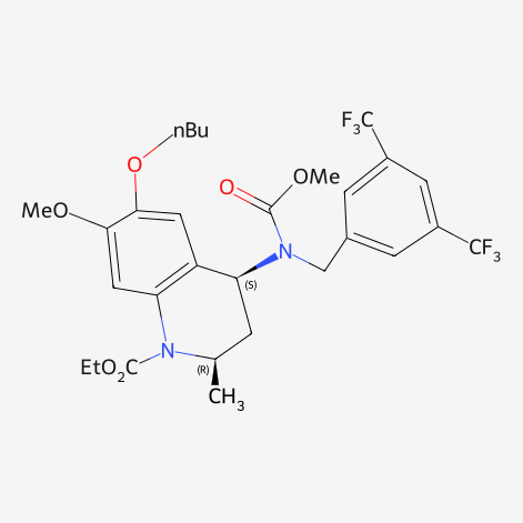 CCCCOc1cc2c(cc1OC)N(C(=O)OCC)[C@H](C)C[C@@H]2N(Cc1cc(C(F)(F)F)cc(C(F)(F)F)c1)C(=O)OC